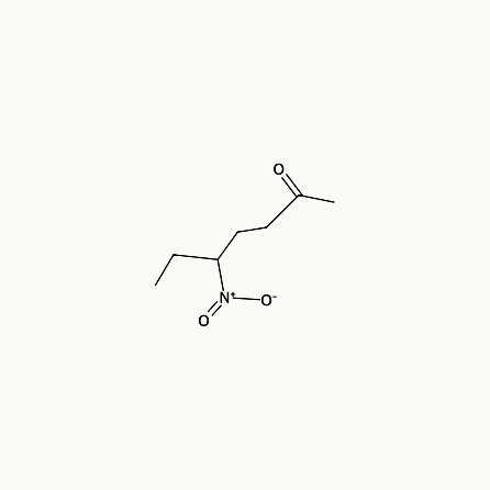 CCC(CCC(C)=O)[N+](=O)[O-]